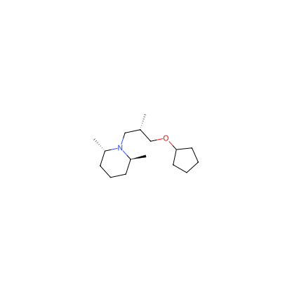 C[C@H](COC1CCCC1)CN1[C@@H](C)CCC[C@@H]1C